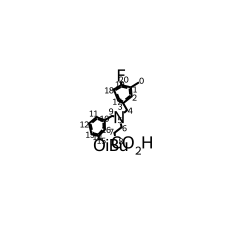 Cc1cc(CN(CCC(=O)O)Cc2cccc(OCC(C)C)c2)ccc1F